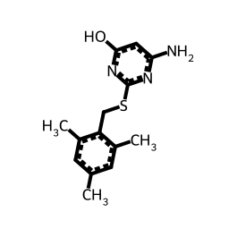 Cc1cc(C)c(CSc2nc(N)cc(O)n2)c(C)c1